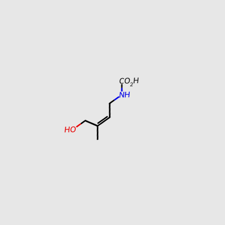 CC(=CCNC(=O)O)CO